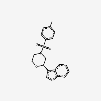 O=S(=O)(c1ccc(F)cc1)N1CCO[C@H](c2csc3ccccc23)C1